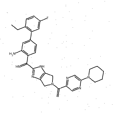 C=C(c1cnc(N2CCCCC2)cn1)N1Cc2nc(C(=N)c3ccc(-c4cc(F)ccc4CC)cc3N)[nH]c2C1